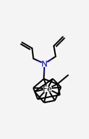 C=CCN(CC=C)[C]12[CH]3[CH]4[CH]5[C]1(C)[Fe]45321678[CH]2[CH]1[CH]6[CH]7[CH]28